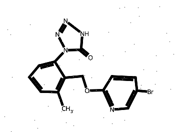 Cc1cccc(-n2nn[nH]c2=O)c1COc1ccc(Br)cn1